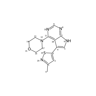 Cc1cc(-c2c[nH]c3ncnc(N4CCOCC4)c23)sn1